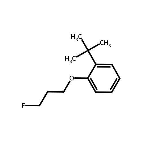 CC(C)(C)c1ccccc1OCCCF